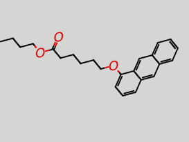 CCCCOC(=O)CCCCCOc1cccc2cc3ccccc3cc12